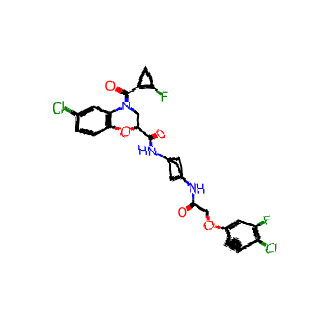 O=C(COc1ccc(Cl)c(F)c1)NC12CC(NC(=O)C3CN(C(=O)[C@H]4C[C@H]4F)c4cc(Cl)ccc4O3)(C1)C2